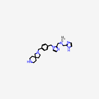 CN(Cc1ncc[nH]1)Cc1nccn1Cc1ccc(CN2CCC3(CCNCC3)C2)cc1